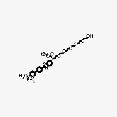 CN(C)c1ccc(-c2ccc(-c3nc4ccc(N(CCOCCOCCOCCOCCOCCO)C(=O)OC(C)(C)C)cc4s3)cc2)cn1